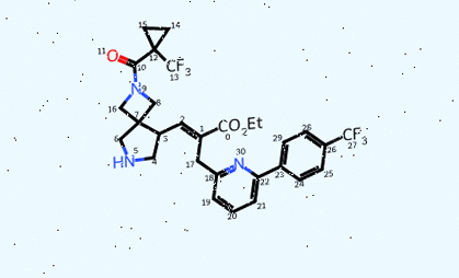 CCOC(=O)C(=CC1CNCC12CN(C(=O)C1(C(F)(F)F)CC1)C2)Cc1cccc(-c2ccc(C(F)(F)F)cc2)n1